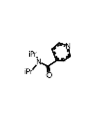 CC(C)N(C(=O)c1ccncc1)C(C)C